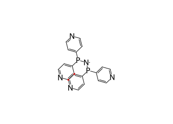 c1cc(P([N]P(c2ccncc2)c2ccncc2)c2ccncc2)ccn1